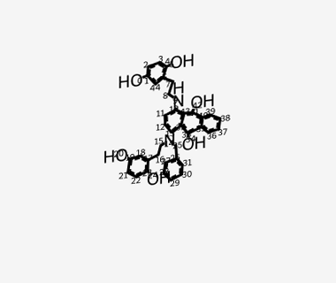 Oc1ccc(O)c(CCNc2ccc(N(CCc3cc(O)ccc3O)Cc3ccccc3)c3c(O)c4ccccc4c(O)c23)c1